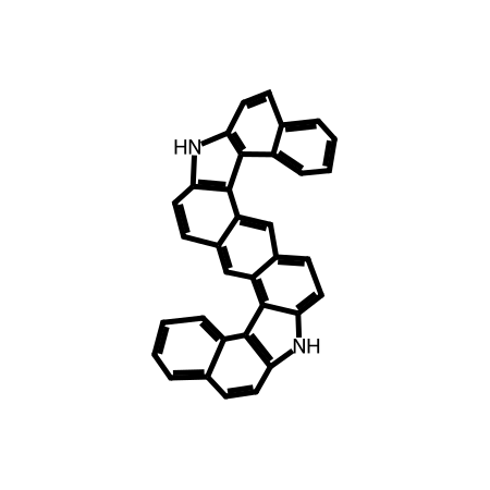 c1ccc2c(c1)ccc1[nH]c3ccc4cc5c(ccc6[nH]c7ccc8ccccc8c7c65)cc4c3c12